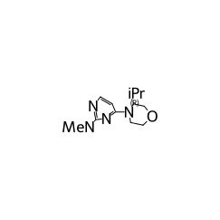 CNc1nccc(N2CCOC[C@H]2C(C)C)n1